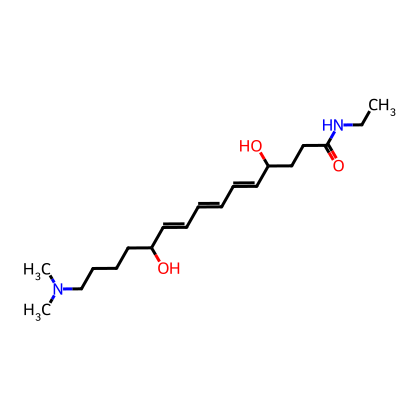 CCNC(=O)CCC(O)C=CC=CC=CC(O)CCCCN(C)C